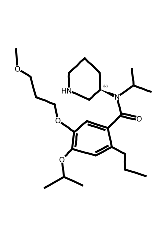 CCCc1cc(OC(C)C)c(OCCCOC)cc1C(=O)N(C(C)C)[C@@H]1CCCNC1